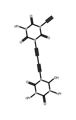 C#Cn1c(=O)n(C#CC#CN2C(=O)N(CCC)C(=O)N(CCC)C2O)c(=O)n(CCC)c1=O